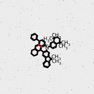 CC(C)c1ccc2c(c1-c1cc3c(cc1N(c1ccc(-c4ccccc4)cc1)c1ccc4c(c1)C(C)(C)CCC4(C)C)C(C)(C)c1ccccc1-3)CCCC2